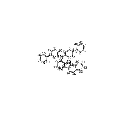 c1ccc(-c2ccc(N(c3cccc(-c4ccccc4)c3)c3ccnc4c3oc3c5ccccc5ccc43)cc2)cc1